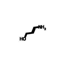 NC=CCO